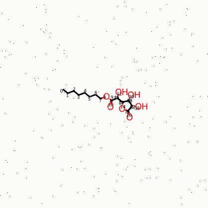 CCCCCCCCOC(=O)[C@H](O)[C@H]1OC(=O)[C@@H](O)[C@H]1O